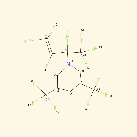 FC(F)=C(F)C(F)(N1CC(C(F)(F)F)CC(C(F)(F)F)C1)C(F)(F)F